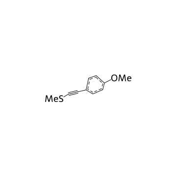 COc1ccc(C#CSC)cc1